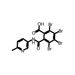 Cc1ccc(NC(=O)c2c(Br)c(Br)c(Br)c(Br)c2C(=O)O)cn1